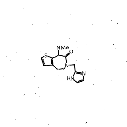 CNC1C(=O)N(Cc2ncc[nH]2)CCc2ccsc21